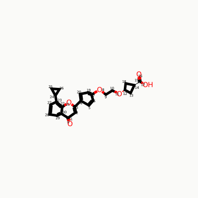 O=c1cc(-c2ccc(OCCO[C@H]3C[C@@H](C(=O)O)C3)cc2)oc2c(C3CC3)cccc12